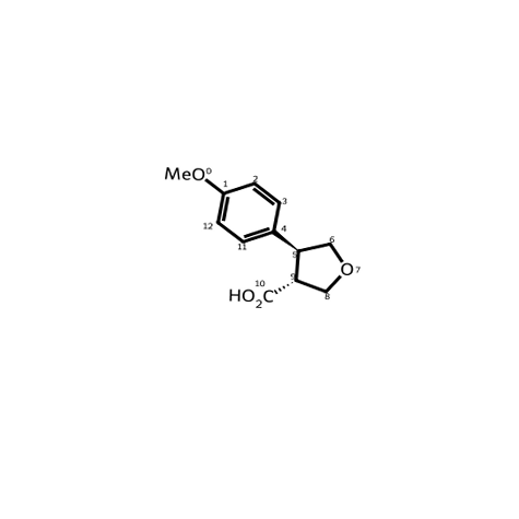 COc1ccc([C@H]2COC[C@@H]2C(=O)O)cc1